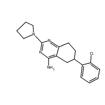 Nc1nc(N2CCCC2)nc2c1CC(c1ccccc1Cl)CC2